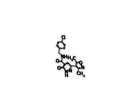 Cc1noc(C)c1-c1cc(C(=O)NCc2ccc(Cl)cc2)c(=O)[nH]n1